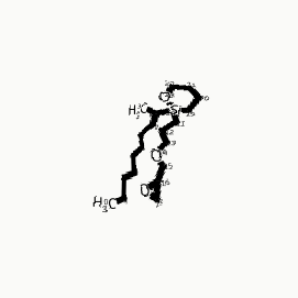 CCCCCCCCC(C)[Si]1(CCCOCC2CO2)CCCCO1